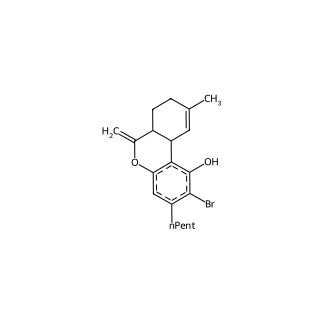 C=C1Oc2cc(CCCCC)c(Br)c(O)c2C2C=C(C)CCC12